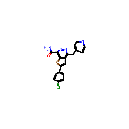 NC(=O)c1nnc(Cc2ccncc2)c2cc(-c3ccc(Cl)cc3)sc12